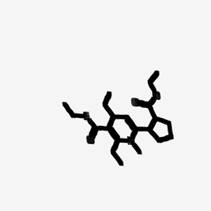 CCOC(=O)C1CCCC1C1=CC(CC)C(C(=O)SCC)=C(CC)N1C